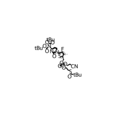 C[C@H]1[C@H](F)[C@H](n2ccc(N(C(=O)OC(C)(C)C)C(=O)OC(C)(C)C)nc2=O)S[C@@H]1COP(=O)(OCCC#N)OCCSC(=O)C(C)(C)C